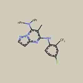 CCCN(CCC)c1c(C)c(Nc2ccc(F)cc2C(F)(F)F)nc2ccnn12